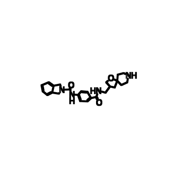 O=C(NCC1COC2(CCNCC2)C1)c1ccc(NC(=O)N2Cc3ccccc3C2)cc1